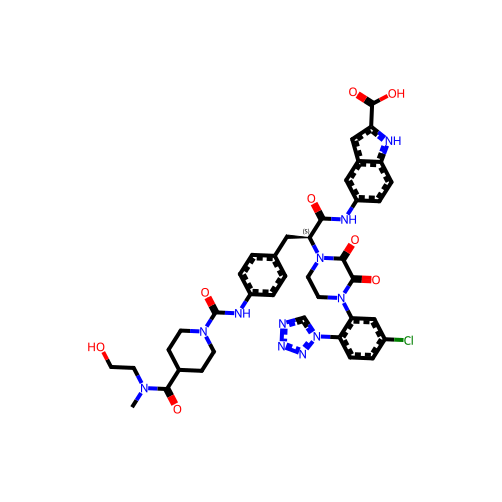 CN(CCO)C(=O)C1CCN(C(=O)Nc2ccc(C[C@@H](C(=O)Nc3ccc4[nH]c(C(=O)O)cc4c3)N3CCN(c4cc(Cl)ccc4-n4cnnn4)C(=O)C3=O)cc2)CC1